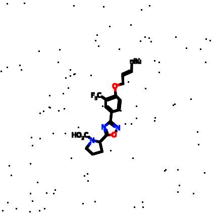 CCCCC=CCOc1ccc(-c2noc(C3CCCN3C(=O)O)n2)cc1C(F)(F)F